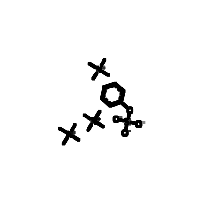 C[N+](C)(C)C.C[N+](C)(C)C.C[N+](C)(C)C.[O-][Si]([O-])([O-])Oc1ccccc1